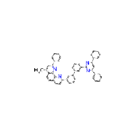 Cc1cc(-c2ccccc2)nc2c1ccc1ccc(-c3cccc(-c4cccc(-c5nc(-c6ccccc6)cc(-c6ccccc6)n5)c4)c3)nc12